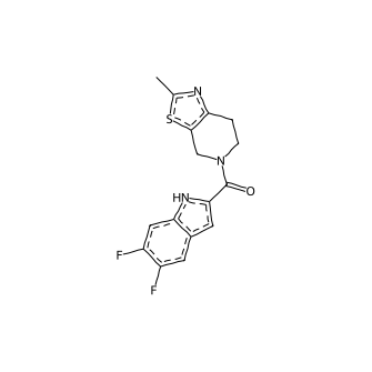 Cc1nc2c(s1)CN(C(=O)c1cc3cc(F)c(F)cc3[nH]1)CC2